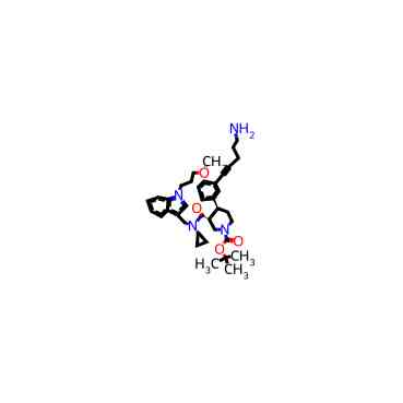 COCCCn1cc(CN(C(=O)[C@H]2CN(C(=O)OC(C)(C)C)CC[C@@H]2c2cccc(C#CCCCN)c2)C2CC2)c2ccccc21